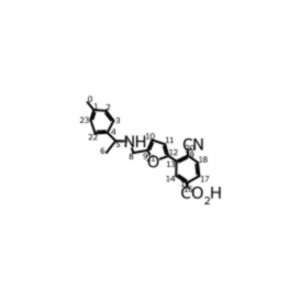 Cc1ccc(C(C)NCc2ccc(-c3cc(C(=O)O)ccc3C#N)o2)cc1